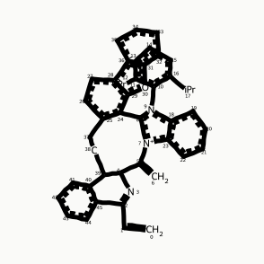 C=CC1=NC2C(=C)[n+]3c(n(-c4c(C(C)C)cccc4C(C)C)c4ccccc43)-c3c(ccc4c3oc3ccccc34)CCC2c2ccccc21